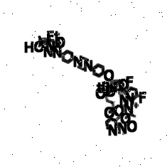 CC[C@@H]([C@H](C)O)n1ncn(-c2ccc(N3CCN(c4ccc(OC[C@@H]5CO[C@@](Cn6c[n+](C(C)OC(=O)N(C)c7ncccc7COC(=O)CCC(=O)OC(C)(C)C)cn6)(c6ccc(F)cc6F)C5)cc4)CC3)cc2)c1=O